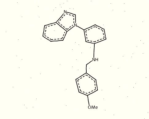 COc1ccc(CNc2cccc(-n3cnc4ccccc43)c2)cc1